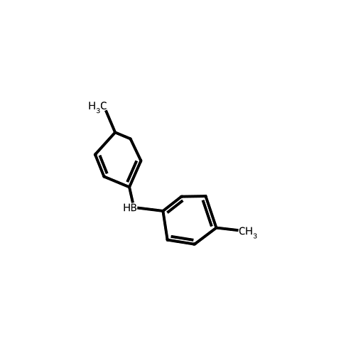 Cc1ccc(BC2=CCC(C)C=C2)cc1